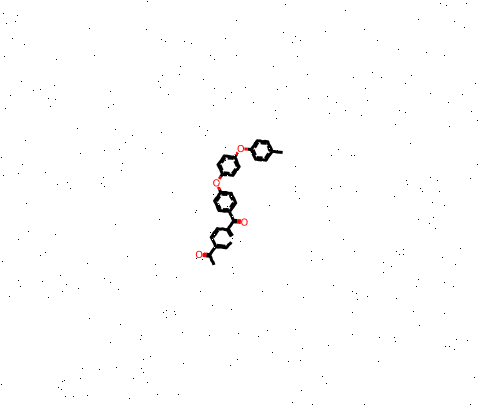 C=C(/C=C\C(=C/C)C(C)=O)C(=O)c1ccc(Oc2ccc(Oc3ccc(C)cc3)cc2)cc1